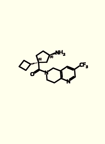 N[C@@H]1CC[C@@](C(=O)N2CCc3ncc(C(F)(F)F)cc3C2)(C2CCC2)C1